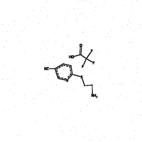 N#Cc1ccc(SCCN)nc1.O=C(O)C(F)(F)F